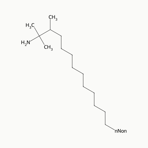 CCCCCCCCCCCCCCCCCCCC(C)C(C)(C)N